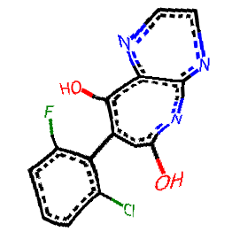 Oc1nc2nccnc2c(O)c1-c1c(F)cccc1Cl